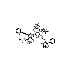 Cc1noc(-c2ccccc2)c1CSC[C@H]1O[C@@H](n2cc(C#Cc3ccccn3)c3c(N)ncnc32)[C@H](O[Si](C)(C)C(C)(C)C)[C@@H]1O[Si](C)(C)C(C)(C)C